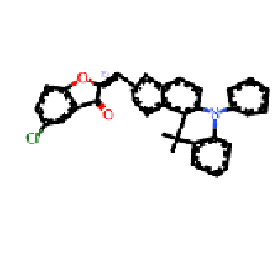 CC1(C)c2ccccc2N(c2ccccc2)c2ccc3cc(/C=C4/Oc5ccc(Cl)cc5C4=O)ccc3c21